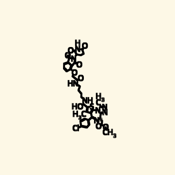 COC(=O)C[C@@H]1N=C(c2ccc(Cl)cc2)c2c(sc(C(O)NCCCCNC(=O)COc3cccc4c3C(=O)N(C3CCC(=O)NC3=O)C4=O)c2C)-n2c(C)nnc21